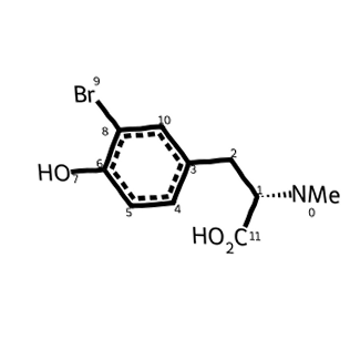 CN[C@@H](Cc1ccc(O)c(Br)c1)C(=O)O